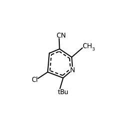 Cc1nc(C(C)(C)C)c(Cl)cc1C#N